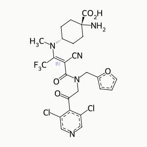 CN(/C(=C(\C#N)C(=O)N(CC(=O)c1c(Cl)cncc1Cl)Cc1ccco1)C(F)(F)F)[C@H]1CC[C@](N)(C(=O)O)CC1